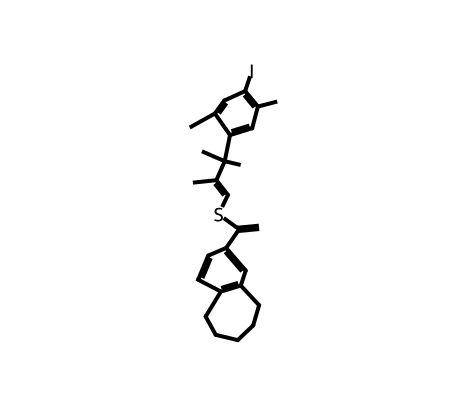 C=C(S/C=C(\C)C(C)(C)c1cc(C)c(I)cc1C)c1ccc2c(c1)CCCCC2